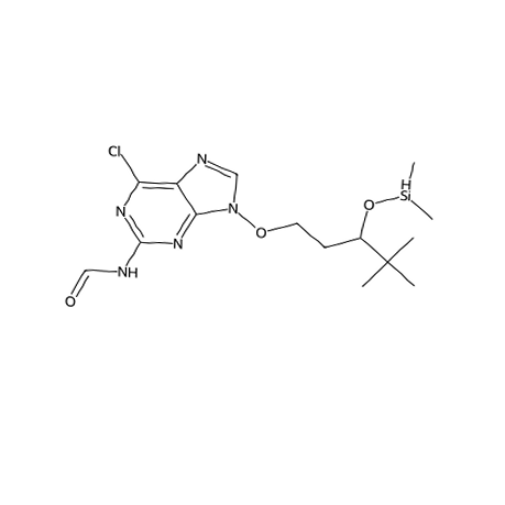 C[SiH](C)OC(CCOn1cnc2c(Cl)nc(NC=O)nc21)C(C)(C)C